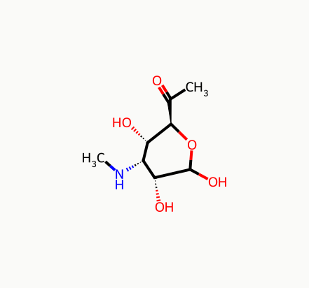 CN[C@@H]1[C@H](O)[C@@H](C(C)=O)OC(O)[C@@H]1O